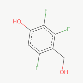 OCc1c(F)cc(O)c(F)c1F